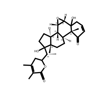 CC1=C(C)C(=O)OC([C@@H](C)C2(O)CC[C@H]3[C@@H]4[C@@H]5O[C@@H]5C5(O)CC=CC(=O)[C@]5(C)[C@H]4CC[C@@]32C)C1